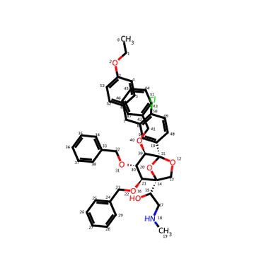 CCOc1ccc(Cc2cc([C@]34OC[C@](C(O)CNC)(O3)[C@@H](OCc3ccccc3)[C@H](OCc3ccccc3)[C@H]4OCc3ccccc3)ccc2Cl)cc1